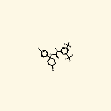 C[C@H](C(=O)NC1(c2ccc(F)cc2)CCC(=O)CC1)c1cc(C(F)(F)F)cc(C(F)(F)F)c1